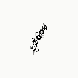 O=C(NCC1CN(c2cc(F)c(N3CCC(n4cnnn4)CC3)c(F)c2)C(=O)O1)C(F)F